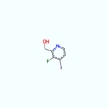 OCc1nccc(I)c1F